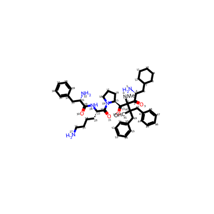 CNC(C(=O)[C@H](N)CC1CCCCC1)(C(=O)[C@@H]1CCCN1C(=O)[C@H](CCCCN)NC(=O)[C@@H](N)Cc1ccccc1)C([C]=O)(Cc1ccccc1)Cc1ccccc1